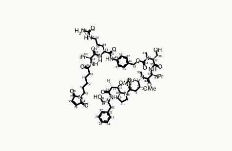 CC[C@H](C)[C@@H]([C@@H](CC(=O)N1CCC[C@H]1[C@H](OC)[C@@H](C)C(=O)N[C@H](CO)Cc1ccccc1)OC)N(C)C(=O)[C@@H](NC(=O)[C@H](CO)N(C)C(=O)OCc1ccc(NC(=O)[C@H](CCCNC(N)=O)NC(=O)[C@@H](NC(=O)CCCCCN2C(=O)C=CC2=O)C(C)C)cc1)C(C)C